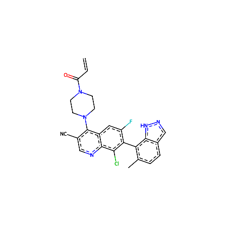 C=CC(=O)N1CCN(c2c(C#N)cnc3c(Cl)c(-c4c(C)ccc5cn[nH]c45)c(F)cc23)CC1